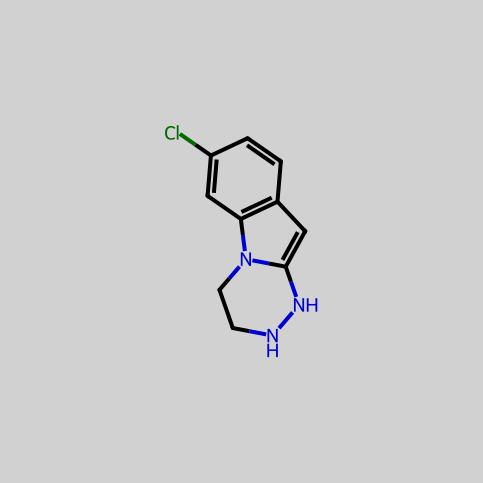 Clc1ccc2cc3n(c2c1)CCNN3